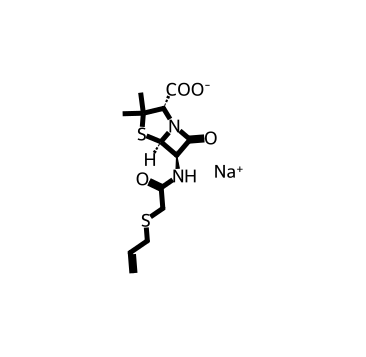 C=CCSCC(=O)N[C@@H]1C(=O)N2[C@@H]1SC(C)(C)[C@@H]2C(=O)[O-].[Na+]